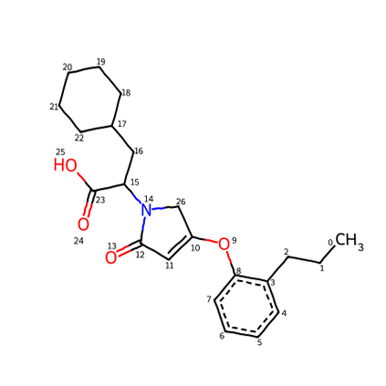 CCCc1ccccc1OC1=CC(=O)N(C(CC2CCCCC2)C(=O)O)C1